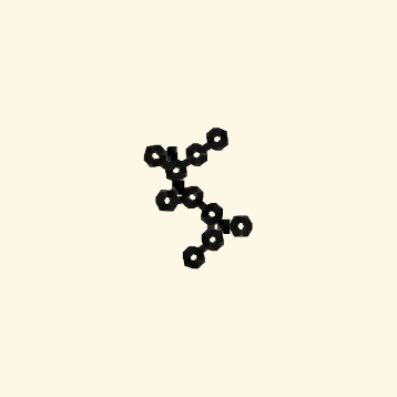 c1ccc(-c2ccc(-c3cc(-n4c5ccccc5c5cc(-c6ccc7c(c6)c6cc(-c8ccccc8)ccc6n7-c6ccccc6)ccc54)cc4c3sc3ccccc34)cc2)cc1